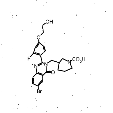 O=C(O)N1CCCC(Cn2c(-c3ccc(OCCO)cc3F)nc3ccc(Br)cc3c2=O)C1